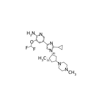 C[C@H]1CC(N2CCN(C)CC2)C[C@H]1n1cc(-c2cnc(N)c(OC(F)F)c2)nc1C1CC1